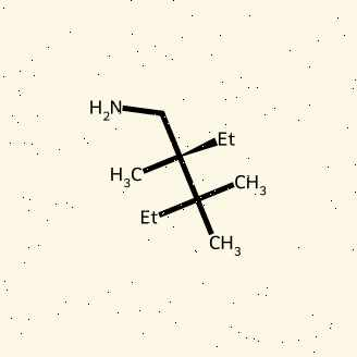 CCC(C)(C)[C@@](C)(CC)CN